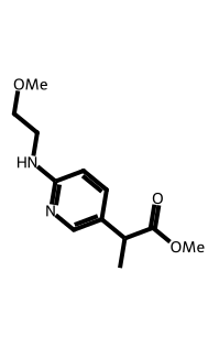 COCCNc1ccc(C(C)C(=O)OC)cn1